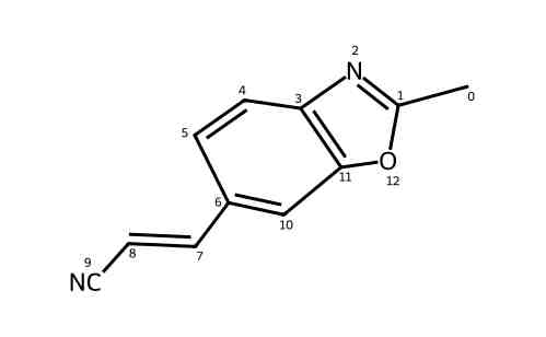 Cc1nc2ccc(C=CC#N)cc2o1